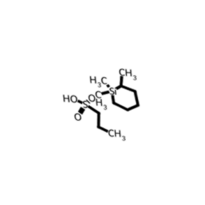 CC1CCCC[Si]1(C)C.CCCS(=O)(=O)O